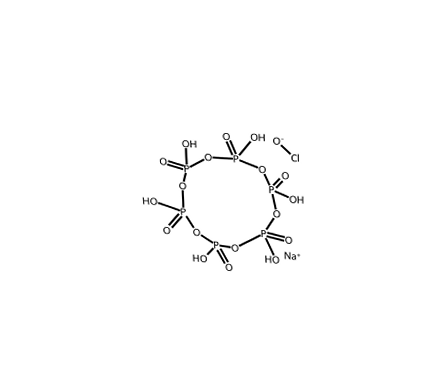 O=P1(O)OP(=O)(O)OP(=O)(O)OP(=O)(O)OP(=O)(O)OP(=O)(O)O1.[Na+].[O-]Cl